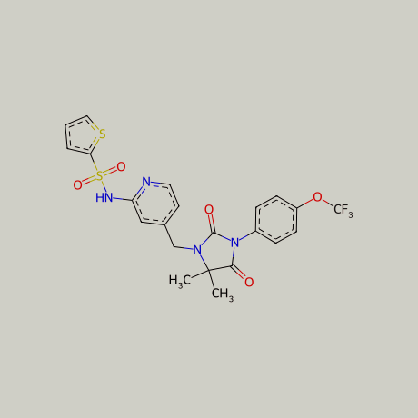 CC1(C)C(=O)N(c2ccc(OC(F)(F)F)cc2)C(=O)N1Cc1ccnc(NS(=O)(=O)c2cccs2)c1